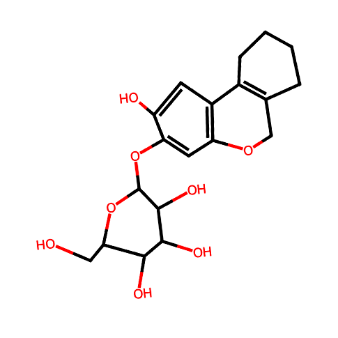 OCC1OC(Oc2cc3c(cc2O)C2=C(CCCC2)CO3)C(O)C(O)C1O